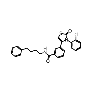 O=C(NCCCCc1ccccc1)c1cccc(-c2csc(=O)n2-c2ccccc2Cl)c1